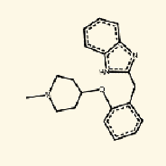 CN1CCC(Oc2ccccc2Cc2nc3ccccc3[nH]2)CC1